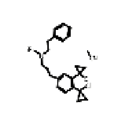 CC#N.CC(C)N(CCCc1ccc(C2(Cl)CC2)c(C2(Cl)CC2)c1)CCc1ccccc1